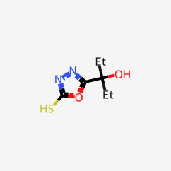 CCC(O)(CC)c1nnc(S)o1